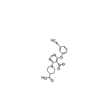 C#Cc1cccc(Oc2ncnc(N3CCC(C(=O)O)CC3)c2[N+](=O)[O-])c1